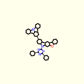 c1ccc(-c2nc(-c3ccccc3)nc(-n3c4ccc(-c5cc6c7ccccc7n7c8ccccc8c(c5)c67)cc4c4cc5c(cc43)oc3ccccc35)n2)cc1